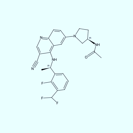 CC(=O)N[C@@H]1CCN(c2ccc3ncc(C#N)c(N[C@H](C)c4cccc(C(F)F)c4F)c3c2)C1